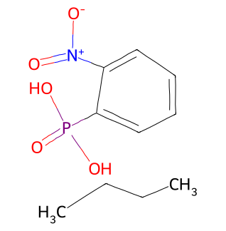 CCCC.O=[N+]([O-])c1ccccc1P(=O)(O)O